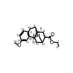 CCOC(=O)C1C[C@]2(C)C3Cc4ccc(OC)cc4[C@]2(C)CC1N3